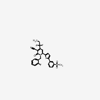 CCC(F)(F)c1cc(-c2ccc(-c3cccc(S(C)(=O)=O)c3)s2)n(Cc2ccccc2F)c(=O)c1C#N